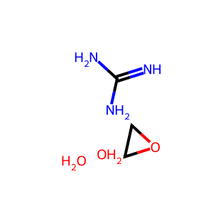 C1CO1.N=C(N)N.O.O